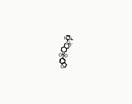 Cn1ccnc1[S+]([O-])CC1CCN(S(=O)(=O)c2ccc3c(c2)CCO3)CC1F